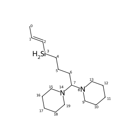 CC=C[SiH2]CCCC(N1CCCCC1)N1CCCCC1